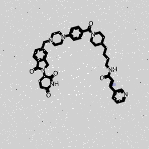 O=C(/C=C/c1cccnc1)NCCCCC1CCN(C(=O)c2ccc(N3CCN(Cc4ccc5c(c4)CN(C4CCC(=O)NC4=O)C5=O)CC3)cc2)CC1